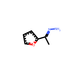 CC(=NN)c1ccco1